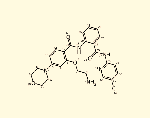 NCCOc1cc(N2CCOCC2)ccc1C(=O)Nc1ccccc1C(=O)Nc1ccc(Cl)cn1